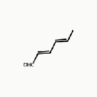 CC=C/C=C/C=O